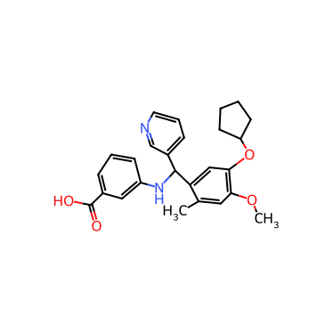 COc1cc(C)c(C(Nc2cccc(C(=O)O)c2)c2cccnc2)cc1OC1CCCC1